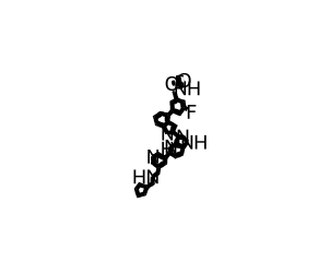 CS(=O)(=O)NCc1cc(F)cc(-c2cccc3[nH]c(-c4n[nH]c5ccc(-c6cncc(CNCC7CCCC7)c6)nc45)cc23)c1